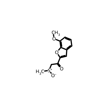 COc1cccc2cc(C(=O)C[S+](C)[O-])oc12